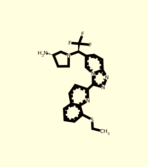 CCSc1cccc2ccc(-c3nnc4ccc([C@@H](N5CC[C@H](N)C5)C(F)(F)F)cn34)nc12